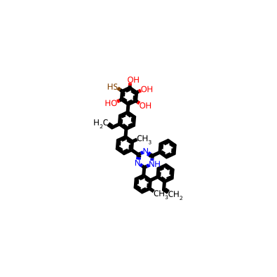 C=Cc1cc(-c2c(O)c(O)c(O)c(S)c2O)ccc1-c1cccc(C2=NC(c3cccc(C)c3-c3ccccc3C=C)NC(c3ccccc3)=N2)c1C